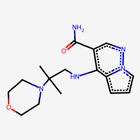 CC(C)(CNc1c(C(N)=O)cnn2cccc12)N1CCOCC1